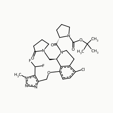 Cn1nnc(COc2ccc(Cl)c3c2[C@@H](CN2CCCC2=O)N(C(=O)[C@@H]2CCCN2C(=O)OC(C)(C)C)CC3)c1C(F)F